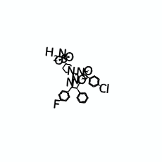 NS(=O)(=O)[C@H]1CCN(/C(=N/S(=O)(=O)c2ccc(Cl)cc2)N2C[C@@H](c3ccccc3)C(c3ccc(F)cc3)=N2)C1